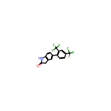 O=C1Cc2cc(-c3ccc(C(F)(F)F)cc3C(F)(F)F)ccc2N1